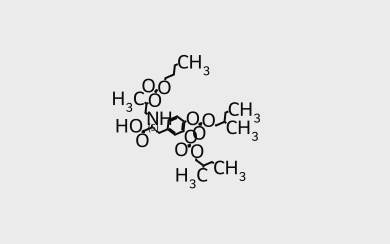 CCCCOC(=O)OC(C)CN[C@@H](Cc1ccc(OC(=O)OCC(C)CC)c(OC(=O)OCC(C)CC)c1)C(=O)O